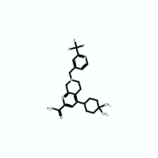 CC1(C)CCC(c2cc(C(N)=O)nc3c2CCN(Cc2ccnc(C(F)(F)F)c2)C3)CC1